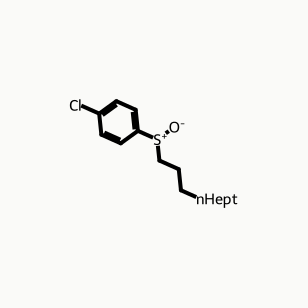 [CH2]CCCCCCCCC[S+]([O-])c1ccc(Cl)cc1